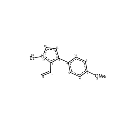 C=Cc1c(-c2ccc(OC)cc2)ccn1CC